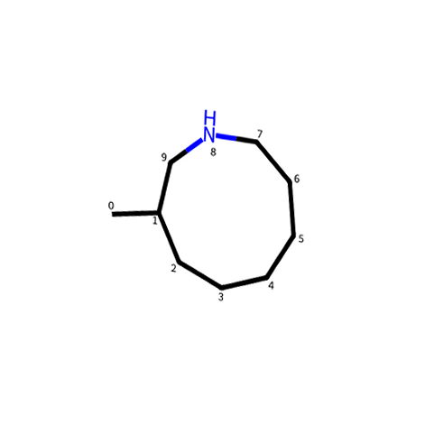 CC1CCCCCCNC1